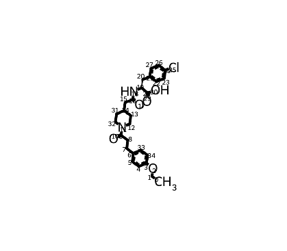 CCOc1ccc(CCC(=O)N2CCC(CC(=O)N[C@@H](Cc3ccc(Cl)cc3)C(=O)O)CC2)cc1